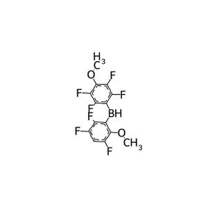 COc1c(F)c(F)c(Bc2c(F)c(F)cc(F)c2OC)c(F)c1F